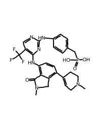 CN1CC=C(c2ccc(Nc3nc(Nc4ccc(CP(=O)(O)O)cc4)ncc3C(F)(F)F)c3c2CN(C)C3=O)CC1